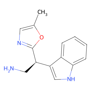 Cc1cnc([C@H](CN)c2c[nH]c3ccccc23)o1